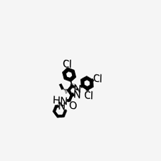 CC[C@H]1C(C(=O)NN2CCCCC2)=NN(c2ccc(Cl)cc2Cl)[C@@H]1c1ccc(Cl)cc1